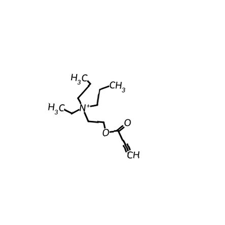 C#CC(=O)OCC[N+](CC)(CCC)CCC